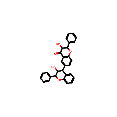 O=C1c2cc(C3c4ccccc4OC(c4ccccc4)C3O)ccc2OC(c2ccccc2)C1O